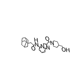 O=C(CC12CC3CC(CC(C3)C1)C2)Nc1cccc2nc(C(=O)N3CCC(CO)CC3)cn12